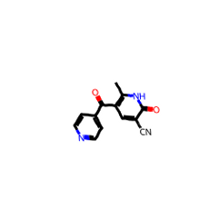 Cc1[nH]c(=O)c(C#N)cc1C(=O)c1ccncc1